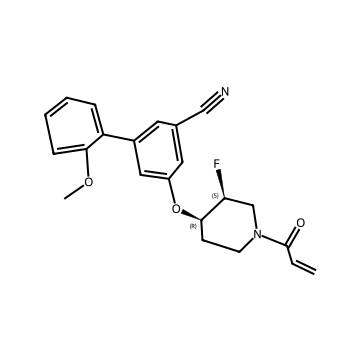 C=CC(=O)N1CC[C@@H](Oc2cc(C#N)cc(-c3ccccc3OC)c2)[C@@H](F)C1